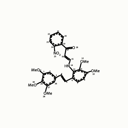 COc1cc(C=Cc2ccc(OC)c(OC)c2NC=CC(=O)c2ccccc2[N+](=O)[O-])cc(OC)c1OC